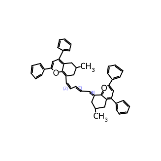 CC1CC(\C=C/C=C/C=C2\CC(C)Cc3c(-c4ccccc4)cc(-c4ccccc4)[o+]c32)=C2OC(c3ccccc3)=CC(c3ccccc3)=C2C1